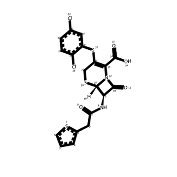 O=C(Cc1cccs1)N[C@@H]1C(=O)N2C(C(=O)O)=C(Sc3cc(Cl)ccc3Cl)CS[C@@H]12